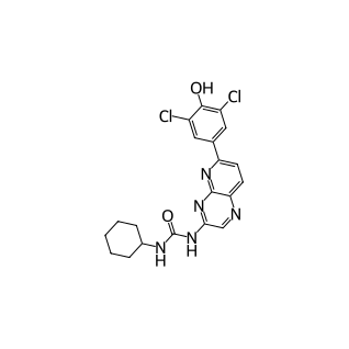 O=C(Nc1cnc2ccc(-c3cc(Cl)c(O)c(Cl)c3)nc2n1)NC1CCCCC1